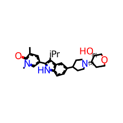 Cc1cc(-c2[nH]c3ccc(C4CCN([C@H]5CCOC[C@@H]5O)CC4)cc3c2C(C)C)cn(C)c1=O